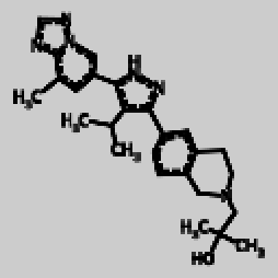 Cc1cc(-c2[nH]nc(-c3ccc4c(c3)CCN(CC(C)(C)O)C4)c2C(C)C)cn2ncnc12